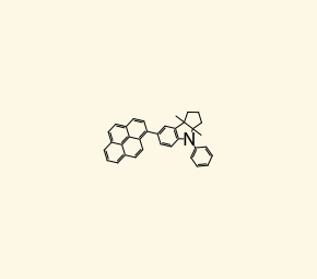 CC12CCCC1(C)N(c1ccccc1)c1ccc(-c3ccc4ccc5cccc6ccc3c4c56)cc12